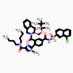 CCCCN(CCCC)C(=O)c1cn(C)c(-c2ccc(C(=O)NS(=O)(=O)c3ccc4cccc(Cl)c4c3)cc2C(=O)N2Cc3ccccc3C[C@H]2CO[Si](C)(C)C(C)(C)C)n1